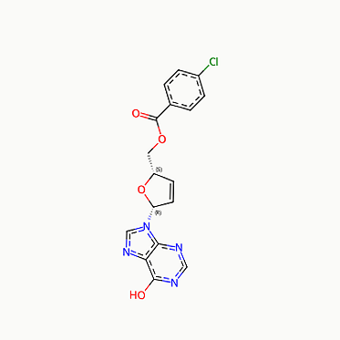 O=C(OC[C@@H]1C=C[C@H](n2cnc3c(O)ncnc32)O1)c1ccc(Cl)cc1